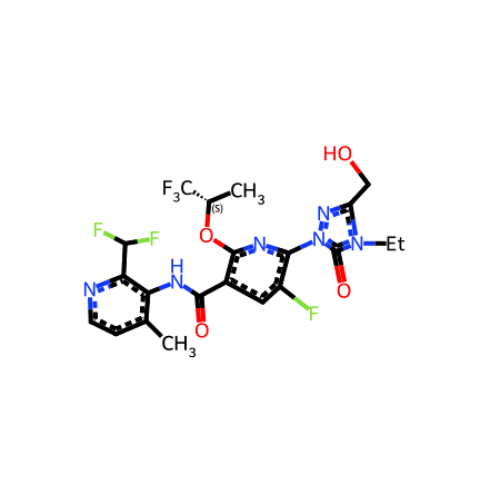 CCn1c(CO)nn(-c2nc(O[C@@H](C)C(F)(F)F)c(C(=O)Nc3c(C)ccnc3C(F)F)cc2F)c1=O